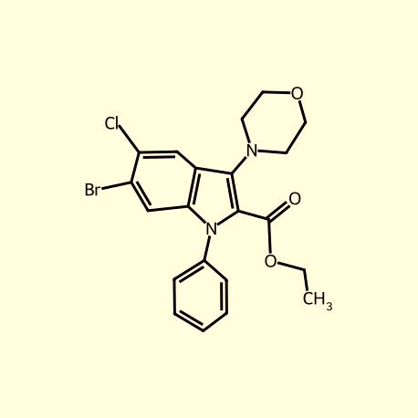 CCOC(=O)c1c(N2CCOCC2)c2cc(Cl)c(Br)cc2n1-c1ccccc1